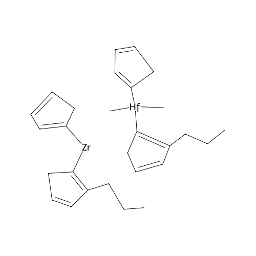 CCCC1=[C]([Hf]([CH3])([CH3])[C]2=CC=CC2)CC=C1.CCCC1=[C]([Zr][C]2=CC=CC2)CC=C1